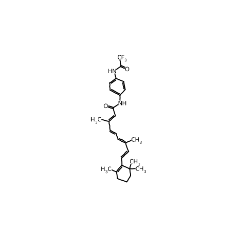 CC(C=CC1=C(C)CCCC1(C)C)=CC=CC(C)=CC(=O)Nc1ccc(NC(=O)C(F)(F)F)cc1